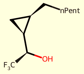 CCCCCC[C@@H]1C[C@@H]1[C@@H](O)C(F)(F)F